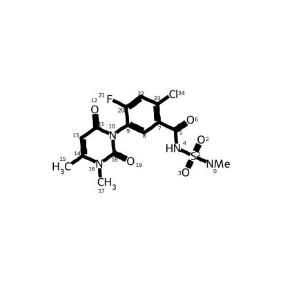 CNS(=O)(=O)NC(=O)c1cc(-n2c(=O)cc(C)n(C)c2=O)c(F)cc1Cl